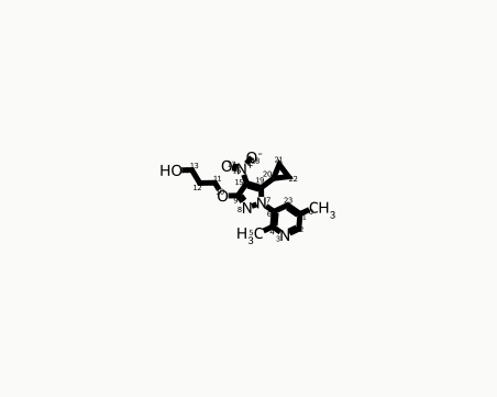 Cc1cnc(C)c(-n2nc(OCCCO)c([N+](=O)[O-])c2C2CC2)c1